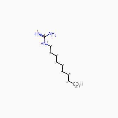 N=C(N)NCCCCCCCCC(=O)O